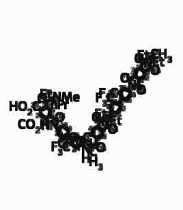 CCCCC(C)(Nc1ccc(-c2ccc(NC(=O)c3cc(C(=O)C(CC)(CCC)NC)c(C(=O)O)cc3C(=O)O)cc2C(F)(F)F)c(C(F)(F)F)c1)C(=O)c1cc2c(cc1C(=O)O)C(=O)N(C(CC)(CC)c1ccc(-c3ccc(-n4c(=O)c5cc6c(=O)n(C(C)(CC)CC)c(=O)c6cc5c4=O)cc3C(F)(F)F)c(C(F)(F)F)c1)C2=O